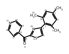 Cc1cc(C)c(-c2csc(C(=O)c3ccncc3)n2)c(C)c1